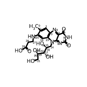 Cc1cc2nc3c(=O)[nH]c(=O)nc-3n(C[C@H](O)[C@H](O)[C@H](O)CO)c2cc1NCCC(=O)O